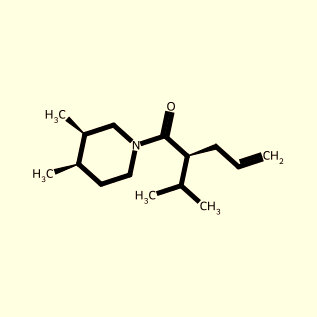 C=CC[C@H](C(=O)N1CC[C@@H](C)[C@@H](C)C1)C(C)C